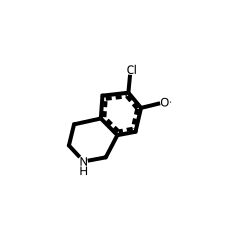 [O]c1cc2c(cc1Cl)CCNC2